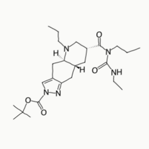 CCCN(C(=O)NCC)C(=O)[C@@H]1C[C@@H]2Cc3nn(C(=O)OC(C)(C)C)cc3C[C@H]2N(CCC)C1